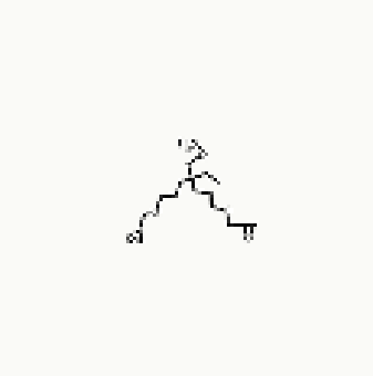 CCC(CCCOCC1CO1)(CCCOCC1CO1)CO[SiH3]